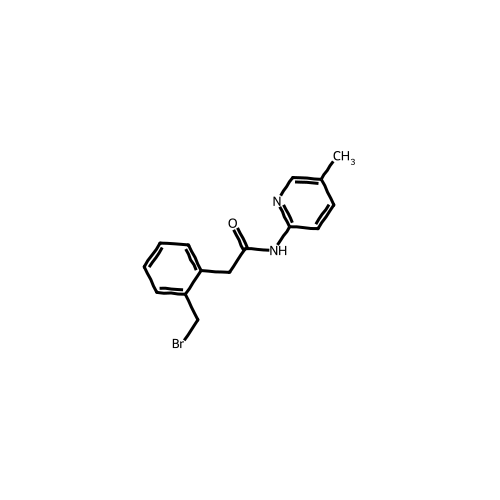 Cc1ccc(NC(=O)Cc2ccccc2CBr)nc1